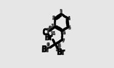 Clc1[c]cccc1CC(Br)(Br)Br